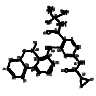 [2H]C([2H])([2H])NC(=O)c1cnc(NC(=O)C2CC2)cc1Nc1nccc2c1N(C)Cc1cccnc1-2